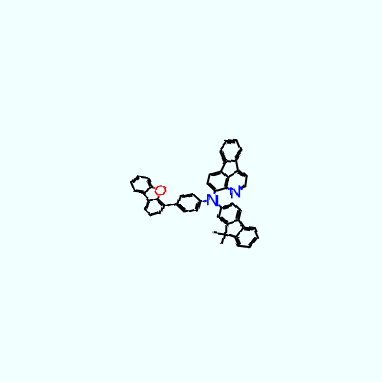 CC1(C)c2ccccc2-c2ccc(N(c3ccc(-c4cccc5c4oc4ccccc45)cc3)c3ccc4c5c(ccnc35)-c3ccccc3-4)cc21